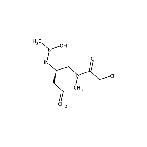 C=CC[C@H](CN(C)C(=O)CCl)NB(C)O